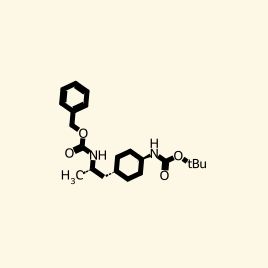 C[C@@H](C[C@H]1CC[C@H](NC(=O)OC(C)(C)C)CC1)NC(=O)OCc1ccccc1